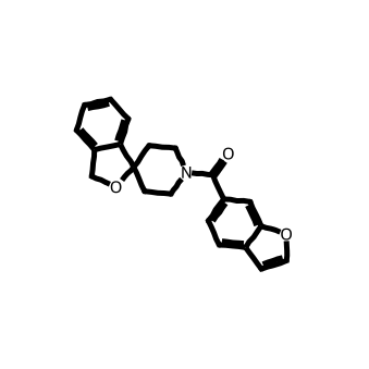 O=C(c1ccc2ccoc2c1)N1CCC2(CC1)OCc1ccccc12